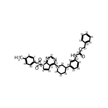 Cc1ccc(S(=O)(=O)n2ccc3c(N4CCCC(c5cccc(NC(=O)OCc6ccccc6)c5)C4)ncnc32)cc1